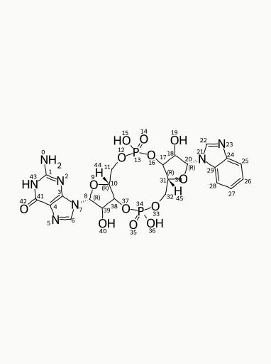 Nc1nc2c(ncn2[C@@H]2O[C@@H]3COP(=O)(O)OC4C(O)[C@H](n5cnc6ccccc65)O[C@@H]4COP(=O)(O)OC3C2O)c(=O)[nH]1